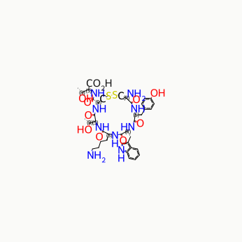 C[C@@H](O)[C@H](NC(=O)[C@@H]1CSSC[C@H](N)C(=O)N[C@@H](Cc2ccc(O)cc2)C(=O)N[C@H](Cc2c[nH]c3ccccc23)C(=O)N[C@@H](CCCCN)C(=O)N[C@@H]([C@@H](C)O)C(=O)N1)C(=O)O